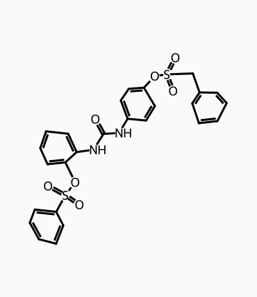 O=C(Nc1ccc(OS(=O)(=O)Cc2ccccc2)cc1)Nc1ccccc1OS(=O)(=O)c1ccccc1